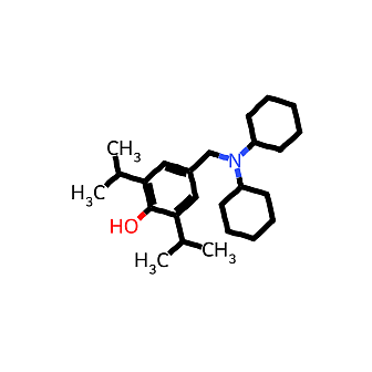 CC(C)c1cc(CN(C2CCCCC2)C2CCCCC2)cc(C(C)C)c1O